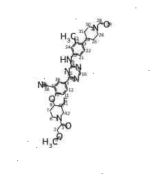 COCC(=O)N1CCC(Oc2ccc(-c3ncnc(Nc4ccc(C5CCN(C=O)CC5)c(C)c4)n3)cc2C#N)C(F)C1